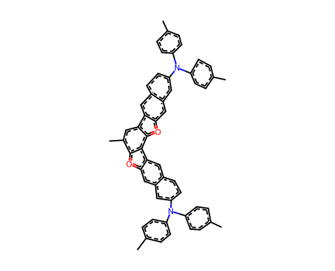 Cc1ccc(N(c2ccc(C)cc2)c2ccc3cc4c(cc3c2)oc2c4cc(C)c3oc4cc5cc(N(c6ccc(C)cc6)c6ccc(C)cc6)ccc5cc4c32)cc1